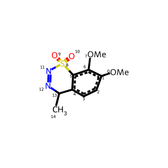 COc1ccc2c(c1OC)S(=O)(=O)N=NC2C